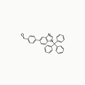 O=Cc1ccc(-c2ccc3c(c2)ncn3C(c2ccccc2)(c2ccccc2)c2ccccc2)cc1